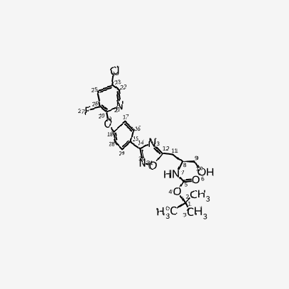 CC(C)(C)OC(=O)N[C@H](CO)Cc1nc(-c2ccc(Oc3ncc(Cl)cc3F)cc2)no1